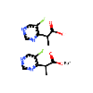 CC(C(=O)[O-])c1ncncc1F.CC(C(=O)[O-])c1ncncc1F.[Ba+2]